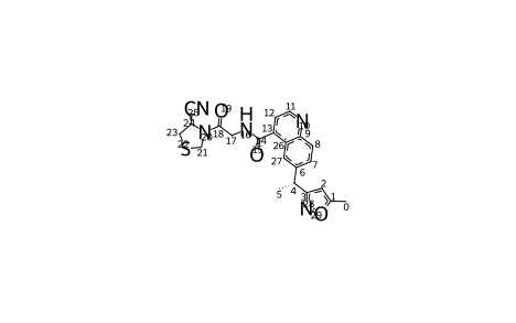 Cc1cc([C@H](C)c2ccc3nccc(C(=O)NCC(=O)N4CSC[C@H]4C#N)c3c2)no1